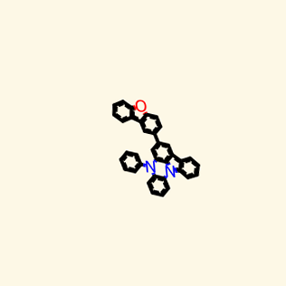 c1ccc(N2c3ccccc3-n3c4ccccc4c4cc(-c5ccc6oc7ccccc7c6c5)cc2c43)cc1